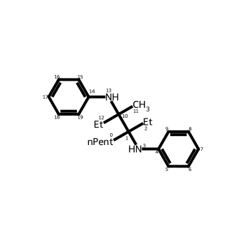 CCCCCC(CC)(Nc1ccccc1)C(C)(CC)Nc1ccccc1